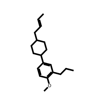 C/C=C/CC1CCC(c2ccc(OC)c(CCC)c2)CC1